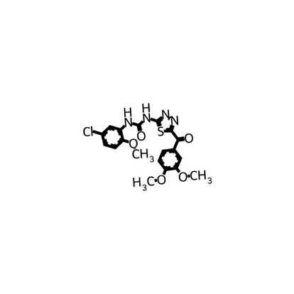 COc1ccc(Cl)cc1NC(=O)Nc1nnc(C(=O)c2ccc(OC)c(OC)c2)s1